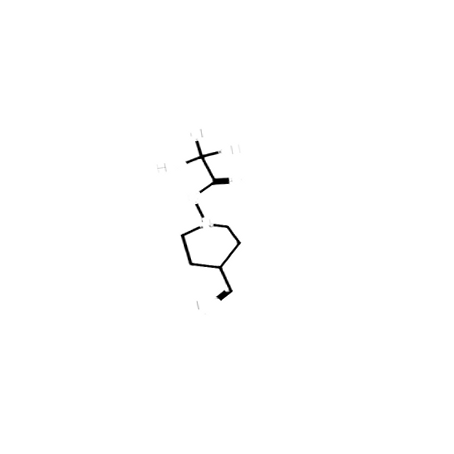 C=CC1CCN(OC(=O)C(C)(C)C)CC1